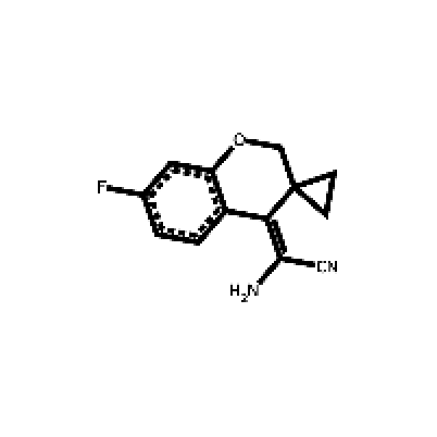 N#C/C(N)=C1/c2ccc(F)cc2OCC12CC2